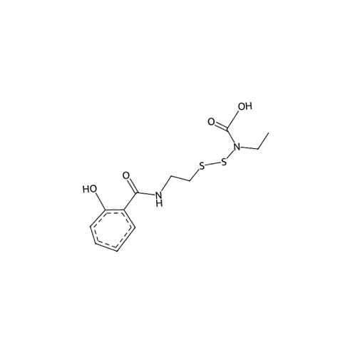 CCN(SSCCNC(=O)c1ccccc1O)C(=O)O